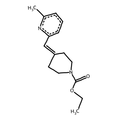 CCOC(=O)N1CCC(=Cc2cccc(C)n2)CC1